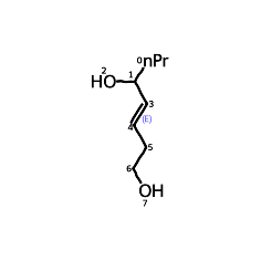 CCCC(O)/C=C/CCO